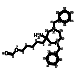 NC1(CCCCCOC=O)CN(Cc2ccccc2)CCN(Cc2ccccc2)C1